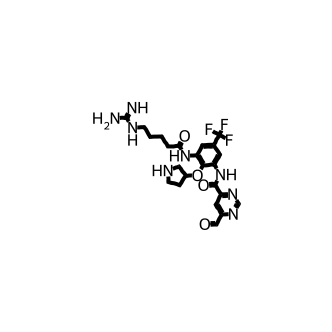 N=C(N)NCCCCC(=O)Nc1cc(C(F)(F)F)cc(NC(=O)c2cc(C=O)ncn2)c1OC1CCNC1